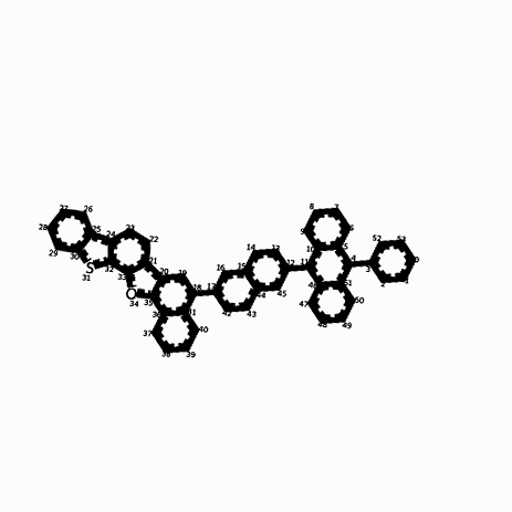 c1ccc(-c2c3ccccc3c(-c3ccc4cc(-c5cc6c7ccc8c9ccccc9sc8c7oc6c6ccccc56)ccc4c3)c3ccccc23)cc1